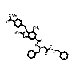 CCCc1nc2cc(C(=O)N[C@@H](CC(=O)NOCc3ccccc3)Cc3ccccc3)cc(C)c2n1Cc1ccc(C(=O)OC)cc1